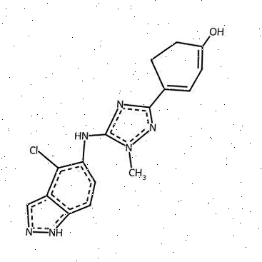 Cn1nc(C2=CC=C(O)CC2)nc1Nc1ccc2[nH]ncc2c1Cl